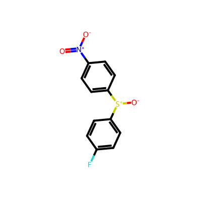 O=[N+]([O-])c1ccc([S+]([O-])c2ccc(F)cc2)cc1